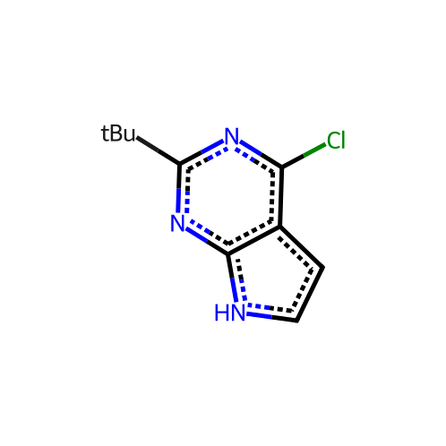 CC(C)(C)c1nc(Cl)c2cc[nH]c2n1